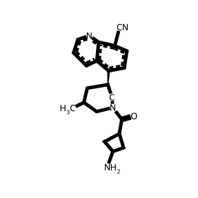 CC1C[C@@H](c2ccc(C#N)c3ncccc23)CN(C(=O)C2CC(N)C2)C1